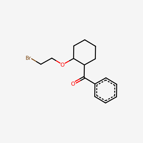 O=C(c1ccccc1)C1CCCCC1OCCBr